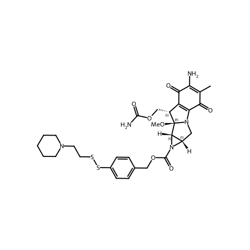 CO[C@@]12[C@H](COC(N)=O)C3=C(C(=O)C(C)=C(N)C3=O)N1C[C@H]1[C@@H]2N1C(=O)OCc1ccc(SSCCN2CCCCC2)cc1